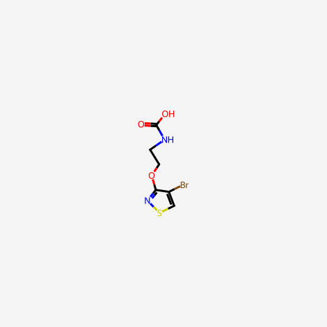 O=C(O)NCCOc1nscc1Br